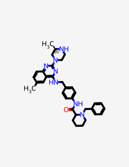 Cc1ccc2nc(N3CCN[C@H](C)C3)nc(NCc3ccc(NC(=O)C4CCCCN4Cc4ccccc4)cc3)c2c1